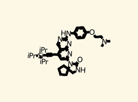 CC(C)[Si](C#Cc1cc(N2C(=O)NCC23CCCC3)nc2nc(Nc3ccc(OCCN(C)C)cc3)ncc12)(C(C)C)C(C)C